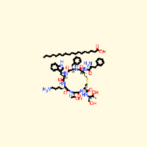 CC(O)[C@@H]1NC(=O)[C@H](CCCCN)NC(=O)[C@@H](Cc2c[nH]c3ccccc23)NC(=O)[C@H](Cc2ccccc2)NC(=O)[C@@H](NC(=O)[C@H](N)Cc2ccccc2)CSSC[C@@H](C(=O)N[C@H](CO)[C@@H](C)O)NC1=O.CCCCCCCCCCCCCCCCCC(=O)O